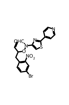 C=CC(Cc1ccc(Br)cc1[N+](=O)[O-])ON(C=O)c1csc(-c2ccncc2)n1